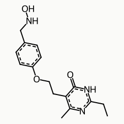 CCc1nc(C)c(CCOc2ccc(CNO)cc2)c(=O)[nH]1